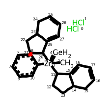 Cl.Cl.[CH3][Zr](=[GeH2])([c]1ccccc1)([CH]1CCC2CC=CC=C21)[CH]1CCC2CC=CC=C21